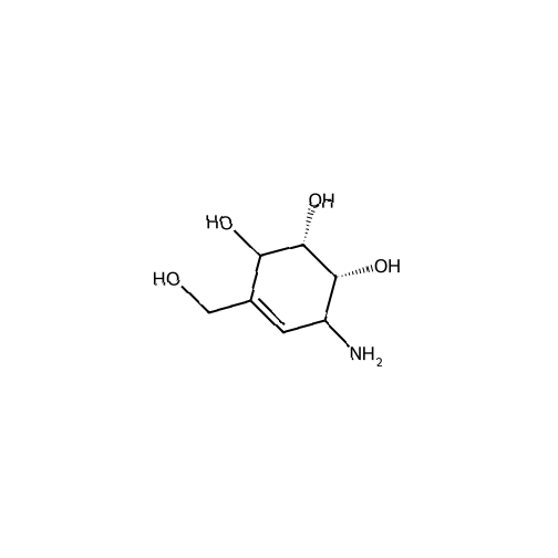 NC1C=C(CO)C(O)[C@H](O)[C@@H]1O